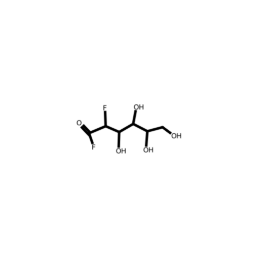 O=C(F)C(F)C(O)C(O)C(O)CO